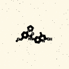 COCc1ccc(N2CCCC2)c(C(=O)Nc2ccc3nc(O)cc(C)c3c2)c1